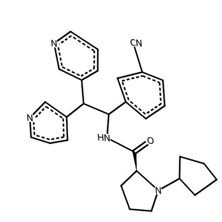 N#Cc1cccc(C(NC(=O)[C@@H]2CCCN2C2CCCC2)C(c2cccnc2)c2cccnc2)c1